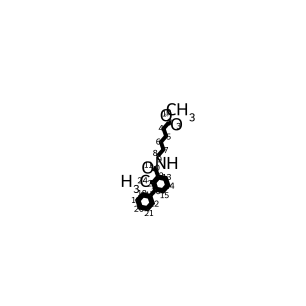 COC(=O)CCCCCNC(=O)c1cccc(-c2ccccc2)c1C